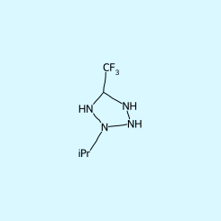 CC(C)N1NNC(C(F)(F)F)N1